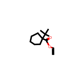 C=COC(=O)C1(C(C)(C)C)CCCCC1